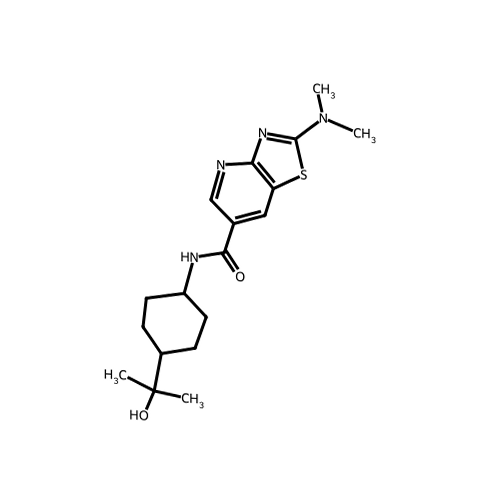 CN(C)c1nc2ncc(C(=O)NC3CCC(C(C)(C)O)CC3)cc2s1